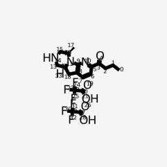 CCCC(=O)c1ccc2c(n1)N1[C@@H](CNC[C@H]1C)C2.O=C(O)C(F)(F)F.O=C(O)C(F)(F)F